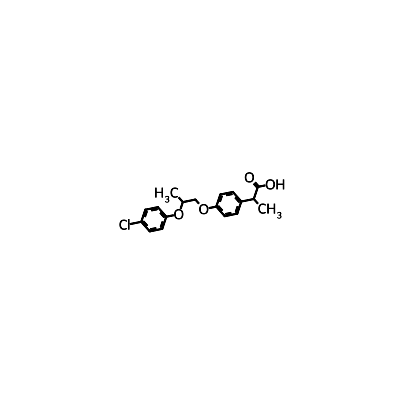 CC(COc1ccc(C(C)C(=O)O)cc1)Oc1ccc(Cl)cc1